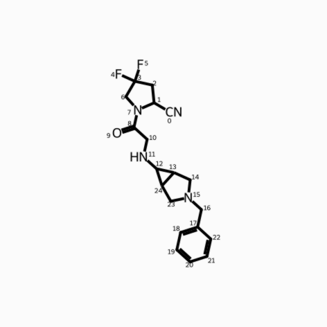 N#CC1CC(F)(F)CN1C(=O)CNC1C2CN(Cc3ccccc3)CC21